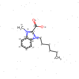 CCCCCC[n+]1c(C(=O)[O-])n(C)c2ccccc21